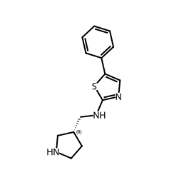 c1ccc(-c2cnc(NC[C@@H]3CCNC3)s2)cc1